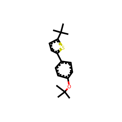 CC(C)(C)Oc1ccc(-c2ccc(C(C)(C)C)s2)cc1